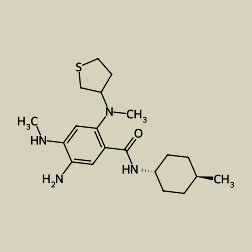 CNc1cc(N(C)C2CCSC2)c(C(=O)N[C@H]2CC[C@H](C)CC2)cc1N